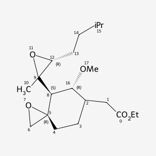 CCOC(=O)CC1CC[C@]2(CO2)[C@@H](C2(C)O[C@@H]2CCC(C)C)[C@@H]1OC